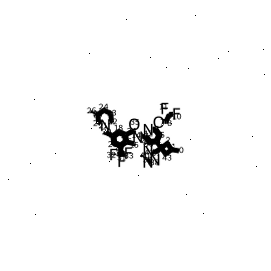 CC1CC(c2cc(OCC(F)F)nc(N3Cc4c(cc(CN5CCC[C@H](C)C5)cc4C(F)(F)F)C3=O)c2)(c2nncn2C)C1